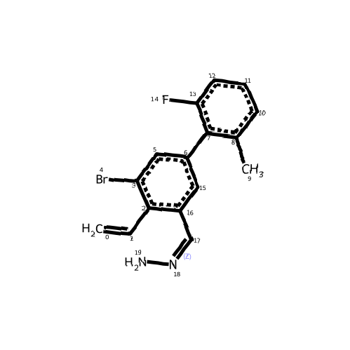 C=Cc1c(Br)cc(-c2c(C)cccc2F)cc1/C=N\N